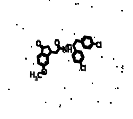 COc1ccc2c(c1)C(CC(=O)NC[C@H](Cc1ccc(Cl)cc1)c1ccc(Cl)cc1)CC2=O